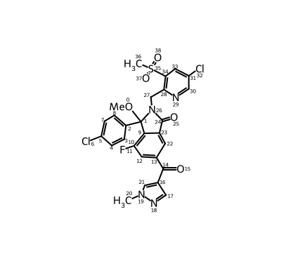 COC1(c2ccc(Cl)cc2)c2c(F)cc(C(=O)c3cnn(C)c3)cc2C(=O)N1Cc1ncc(Cl)cc1S(C)(=O)=O